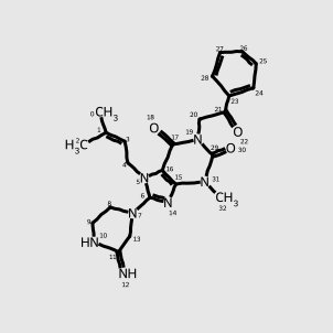 CC(C)=CCn1c(N2CCNC(=N)C2)nc2c1c(=O)n(CC(=O)c1ccccc1)c(=O)n2C